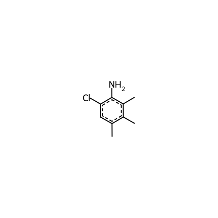 Cc1cc(Cl)c(N)c(C)c1C